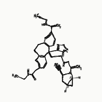 C=C(NCC)c1ccc2c(c1)CCc1cc(C(=O)NCC)ccc1C2(C[C@H](C)NCC(=C)N1C(C#N)C[C@@H]2C[C@@H]21)c1nnn[nH]1